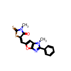 CN1C(=O)/C(=C\c2cc3c(nc(-c4ccccc4)n3C)o2)SC1=S